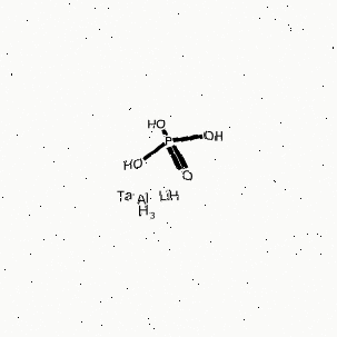 O=P(O)(O)O.[AlH3].[LiH].[Ta]